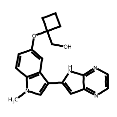 Cn1cc(-c2cc3nccnc3[nH]2)c2cc(OC3(CO)CCC3)ccc21